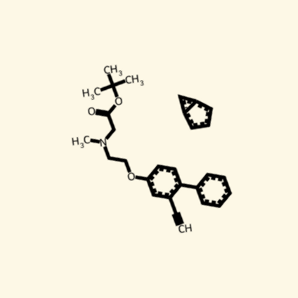 C#Cc1cc(OCCN(C)CC(=O)OC(C)(C)C)ccc1-c1ccccc1.c1cc2cc-2c1